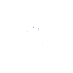 C[C@H]1COCCN1c1cc(CSc2cccnc2C(=O)N(C)C)nc(Cl)n1